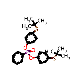 CC(C)(C)Sc1ccc(OP(=O)(Oc2ccc(SC(C)(C)C)cc2)c2ccccc2)cc1